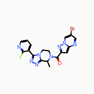 CC1c2nnc(-c3cccnc3F)n2CCN1C(=O)c1cc2ncc(Br)cn2n1